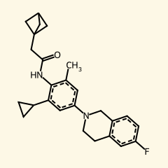 Cc1cc(N2CCc3cc(F)ccc3C2)cc(C2CC2)c1NC(=O)CC12CC(C1)C2